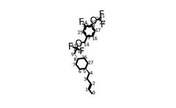 CC=CCC[C@H]1CC[C@H](CC(F)(F)OCc2ccc(OC(F)F)c(F)c2)CC1